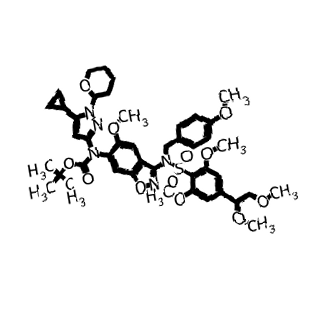 COCC(OC)c1cc(OC)c(S(=O)(=O)N(Cc2ccc(OC)cc2)c2noc3cc(N(C(=O)OC(C)(C)C)c4cc(C5CC5)n(C5CCCCO5)n4)c(OC)cc23)c(OC)c1